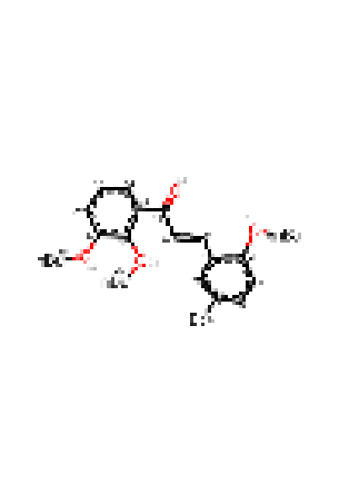 CCCCOc1ccc(CC)cc1C=CC(=O)c1cccc(OCCCC)c1OCCCC